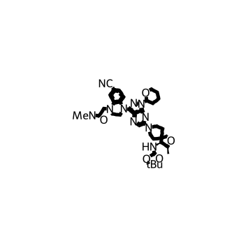 CNC(=O)CN1CCN(c2nn(C3CCCCO3)c3nc(N4CCC5(CC4)CO[C@@H](C)[C@H]5NC(=O)OC(C)(C)C)cnc23)c2ccc(C#N)cc21